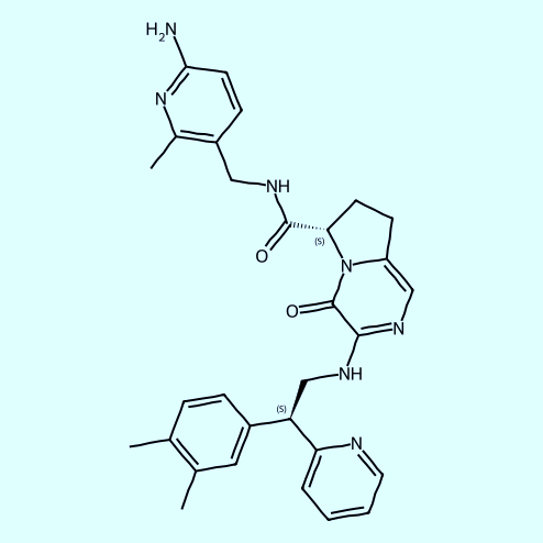 Cc1ccc([C@@H](CNc2ncc3n(c2=O)[C@H](C(=O)NCc2ccc(N)nc2C)CC3)c2ccccn2)cc1C